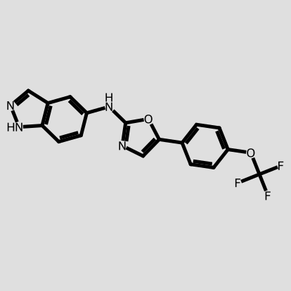 FC(F)(F)Oc1ccc(-c2cnc(Nc3ccc4[nH]ncc4c3)o2)cc1